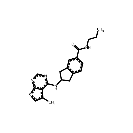 CCCNC(=O)c1ccc2c(c1)CC(Nc1ncnc3scc(C)c13)C2